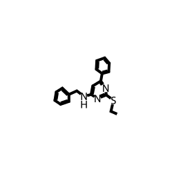 CCSc1nc(NCc2ccccc2)cc(-c2ccccc2)n1